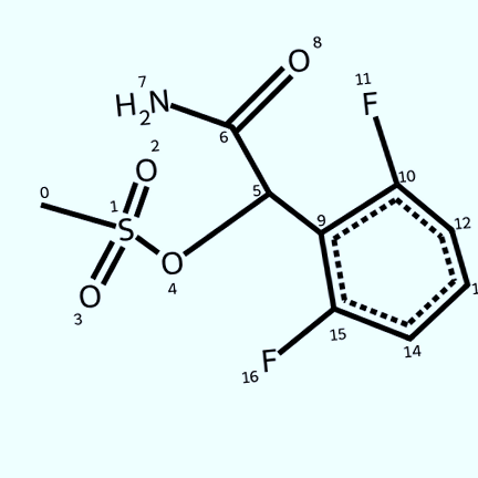 CS(=O)(=O)OC(C(N)=O)c1c(F)cccc1F